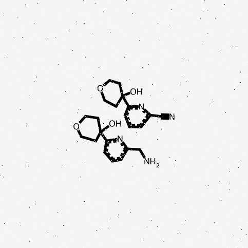 N#Cc1cccc(C2(O)CCOCC2)n1.NCc1cccc(C2(O)CCOCC2)n1